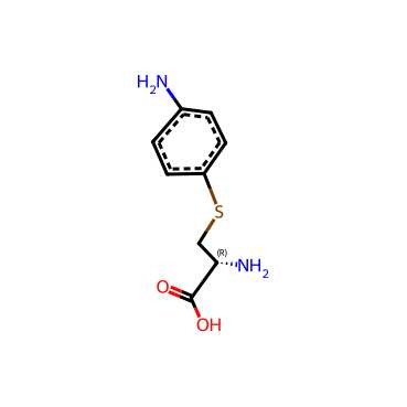 Nc1ccc(SC[C@H](N)C(=O)O)cc1